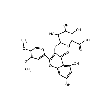 COc1ccc(-c2oc3cc(O)cc(O)c3c(=O)c2OC2OC(C(=O)O)C(O)C(O)C2O)cc1OC